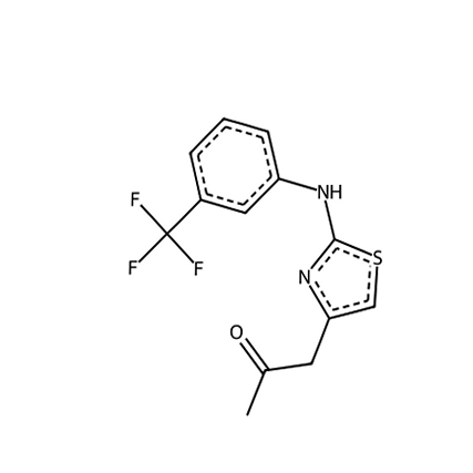 CC(=O)Cc1csc(Nc2cccc(C(F)(F)F)c2)n1